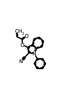 C=CC(=O)Oc1c(C#N)n(-c2ccccc2)c2ccccc12